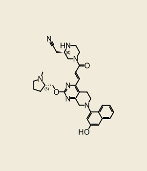 CN1CCC[C@H]1COc1nc(C=CC(=O)N2CCN[C@H](CC#N)C2)c2c(n1)CN(c1cc(O)cc3ccccc13)CC2